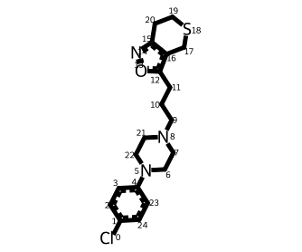 Clc1ccc(N2CCN(CCCc3onc4c3CSCC4)CC2)cc1